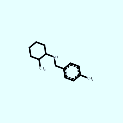 Cc1ccc(CNC2CCCCC2C)cc1